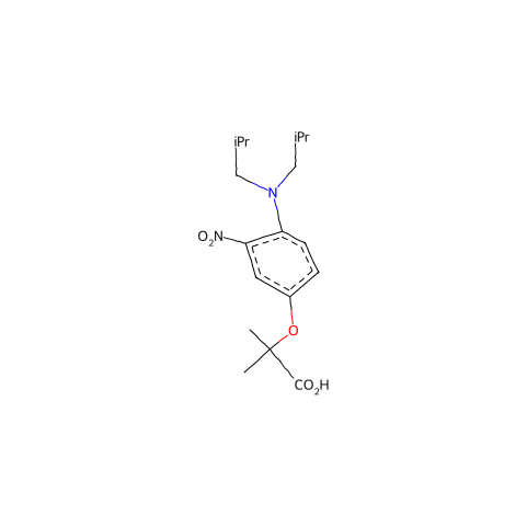 CC(C)CN(CC(C)C)c1ccc(OC(C)(C)C(=O)O)cc1[N+](=O)[O-]